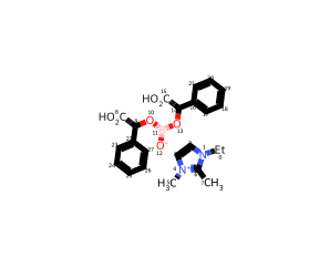 CCn1cc[n+](C)c1C.O=C(O)C(OB([O-])OC(C(=O)O)c1ccccc1)c1ccccc1